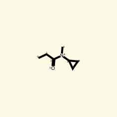 CCC(=O)N(C)C1CC1